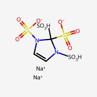 O=S(=O)([O-])N1C=CN(S(=O)(=O)O)C1(S(=O)(=O)[O-])S(=O)(=O)O.[Na+].[Na+]